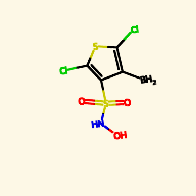 Bc1c(Cl)sc(Cl)c1S(=O)(=O)NO